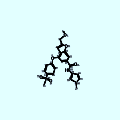 COCc1cc2c(Oc3ccc(S(C)(=O)=O)cc3)cc(C(=O)Nc3ccn(C)n3)cc2o1